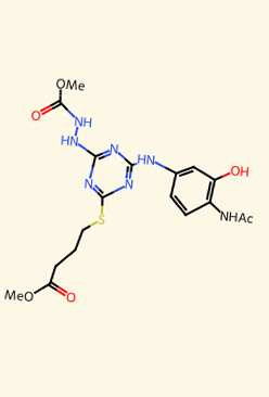 COC(=O)CCCSc1nc(NNC(=O)OC)nc(Nc2ccc(NC(C)=O)c(O)c2)n1